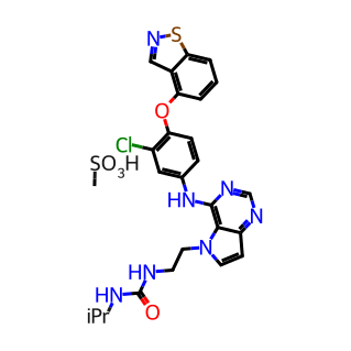 CC(C)NC(=O)NCCn1ccc2ncnc(Nc3ccc(Oc4cccc5sncc45)c(Cl)c3)c21.CS(=O)(=O)O